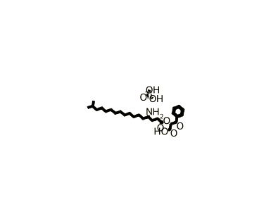 CC(C)CCCCCCCCCCCC(N)CCC(=O)OC(C(=O)O)C(=O)c1ccccc1.[O]=[Ti]([OH])[OH]